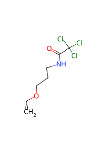 C=COCCCNC(=O)C(Cl)(Cl)Cl